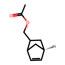 CC(=O)OCC1C[C@H]2C=CC1C2